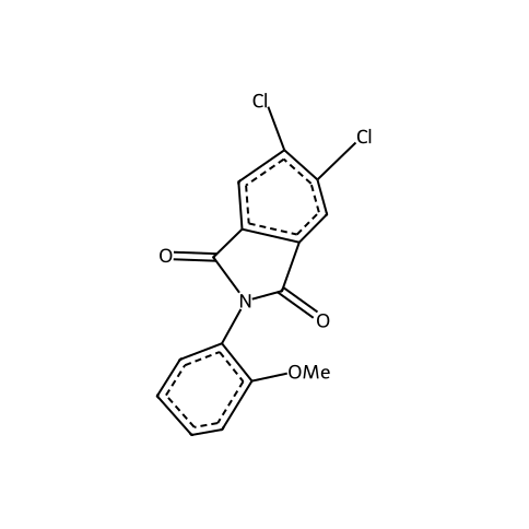 COc1ccccc1N1C(=O)c2cc(Cl)c(Cl)cc2C1=O